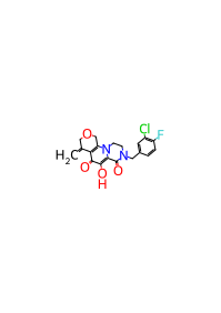 C=C1COCc2c1c(=O)c(O)c1n2CCN(Cc2ccc(F)c(Cl)c2)C1=O